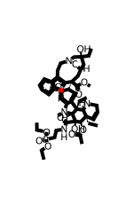 CCOP(=O)(CCNC(=O)[C@@]1(O)[C@H](OC(C)=O)[C@]2(CC)C=CCN3CC[C@@]4(C5=CC([C@@]6(C(=O)OC)C[C@H]7CN(CCc8c6[nH]c6ccccc86)C[C@](O)(CC)C7)C(OC)C=C5N(C)[C@@H]14)[C@@H]32)OCC